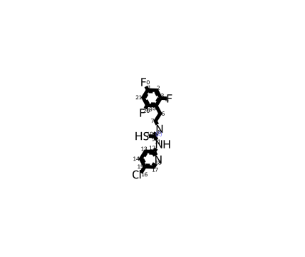 Fc1cc(F)c(CC/N=C(\S)Nc2ccc(Cl)cn2)c(F)c1